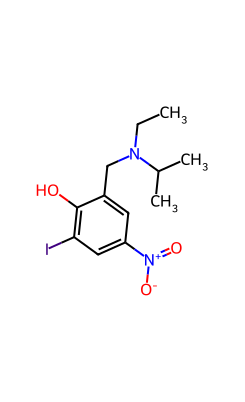 CCN(Cc1cc([N+](=O)[O-])cc(I)c1O)C(C)C